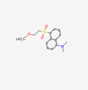 CN(C)c1cccc2c(S(=O)(=O)CCOC(=O)O)cccc12